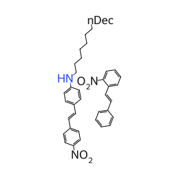 CCCCCCCCCCCCCCCCCNc1ccc(C=Cc2ccc([N+](=O)[O-])cc2)cc1.O=[N+]([O-])c1ccccc1C=Cc1ccccc1